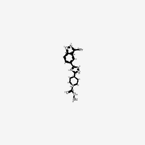 CC(C)c1noc2ccc(-c3noc(C4CCN(C(=O)OC(C)(C)C)CC4)n3)cc12